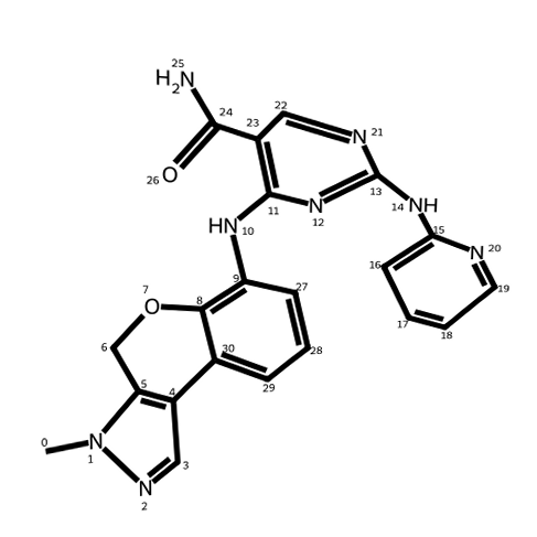 Cn1ncc2c1COc1c(Nc3nc(Nc4ccccn4)ncc3C(N)=O)cccc1-2